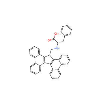 O=C(O)[C@H](Cc1ccccc1)NCC1c2c(c3ccccc3c3ccccc23)-c2c1c1ccccc1c1ccccc21